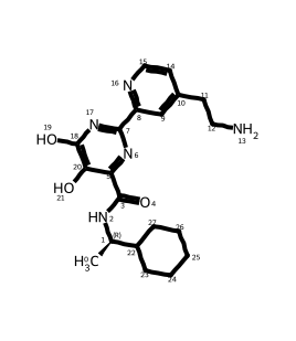 C[C@@H](NC(=O)c1nc(-c2cc(CCN)ccn2)nc(O)c1O)C1CCCCC1